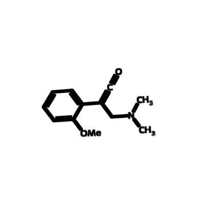 COc1ccccc1C(=C=O)CN(C)C